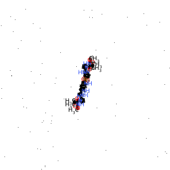 COC(=O)NC(C(=O)N1CCCC1c1ncc(-c2cc3cc4cc(S(=O)(=O)c5ccc6nc(C7CCCN7C(=O)C(NC(=O)OC)C(C)C)[nH]c6c5)[nH]c4cc3[nH]2)[nH]1)C(C)C